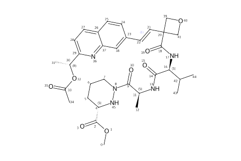 COC(=O)[C@@H]1CCCN(C(=O)[C@H](C)NC(=O)[C@@H](NC(=O)C2(/C=C/c3ccc4ccc([C@@H](C)OC(C)=O)nc4c3)COC2)C(C)C)N1